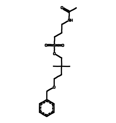 CC(=O)NCCCS(=O)(=O)OCC(C)(C)CCOCc1ccccc1